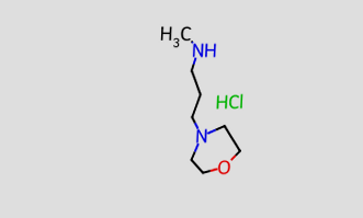 CNCCCN1CCOCC1.Cl